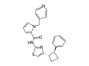 O=C(Nc1nc([C@H]2CC[C@@H]2c2ccccc2)cs1)c1cccn1Cc1ccncc1